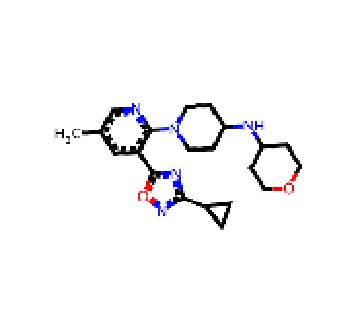 Cc1cnc(N2CCC(NC3CCOCC3)CC2)c(-c2nc(C3CC3)no2)c1